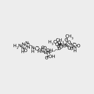 CCOC(=O)CN(CC(COCCCCCNC(CC(NC(=O)c1ccc(NCc2cnc3nc(N)[nH]c(=O)c3n2)cc1)C(=O)O)C(=O)O)NC(=O)OC(C)(C)C)C(=O)Cn1ccc(=O)[nH]c1=O